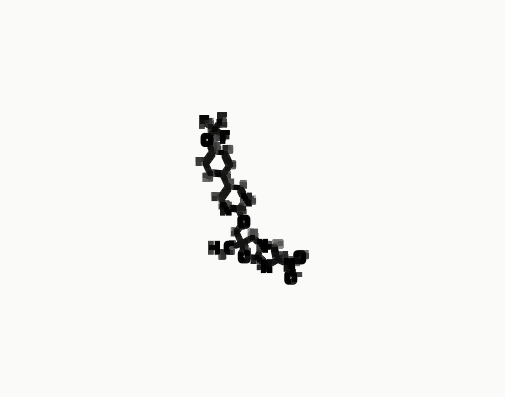 CC1(COc2ncc(-c3ccc(OC(F)(F)F)cc3)cn2)Cn2cc([N+](=O)[O-])nc2O1